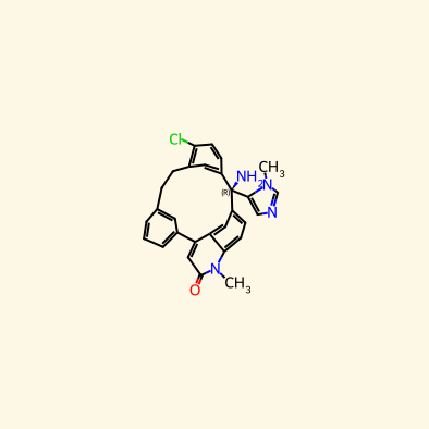 Cn1cncc1[C@@]1(N)c2ccc(Cl)c(c2)CCc2cccc(c2)-c2cc(=O)n(C)c3ccc1cc23